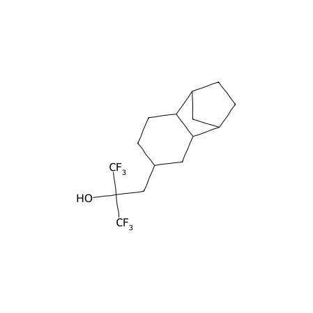 OC(CC1CCC2C3CCC(C3)C2C1)(C(F)(F)F)C(F)(F)F